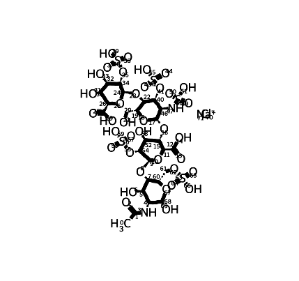 CC(=O)N[C@@H]1[C@@H](O)[C@H](O[C@@H]2O[C@H](C(=O)O)[C@@H](O[C@@H]3O[C@H](CO)[C@@H](O[C@H]4O[C@@H](C(=O)O)[C@H](O)[C@@H](O)[C@@H]4OS(=O)(=O)O)[C@H](OS(=O)(=O)O)[C@H]3NS(=O)(=O)O)[C@H](O)[C@H]2OS(=O)(=O)O)[C@H](COS(=O)(=O)O)O[C@H]1O.[Cl-].[Na+]